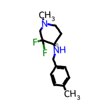 Cc1ccc(CN[C@@H]2CCN(C)CC2(F)F)cc1